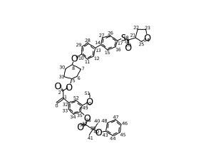 C=C(C(=O)OC1CCC(Oc2ccc(-c3ccc(SC(=O)C4CCOC4)cc3)cc2)CC1)c1ccc(OC(=O)C(C)(C)Oc2ccccc2)c(OC)c1